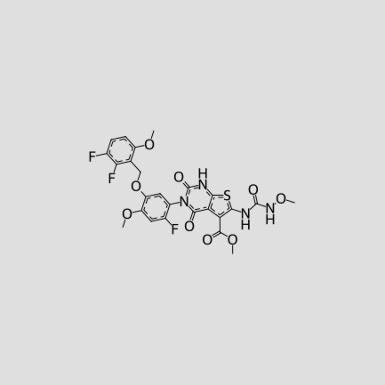 CONC(=O)Nc1sc2[nH]c(=O)n(-c3cc(OCc4c(OC)ccc(F)c4F)c(OC)cc3F)c(=O)c2c1C(=O)OC